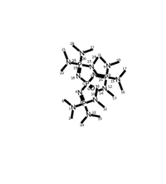 CN(C)P(=NP(=O)(N=P(N(C)C)(N(C)C)N(C)C)N=P(N(C)C)(N(C)C)N(C)C)(N(C)C)N(C)C